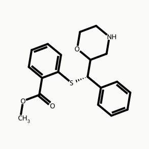 COC(=O)c1ccccc1S[C@@H](c1ccccc1)C1CNCCO1